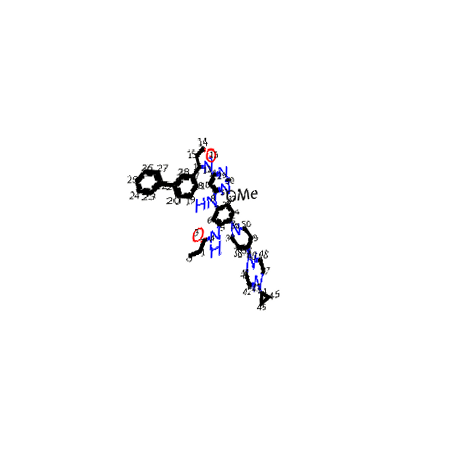 C=CC(=O)Nc1cc(Nc2cc(N3OCCC3c3cccc(-c4ccccc4)c3)ncn2)c(OC)cc1N1CCC(N2CCN(C3CC3)CC2)CC1